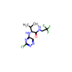 CC(C)[C@@H](Nc1cnnc(Cl)n1)C(=O)NCC(F)(F)F